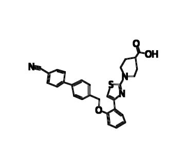 N#Cc1ccc(-c2ccc(COc3ccccc3-c3csc(N4CCC(C(=O)O)CC4)n3)cc2)cc1